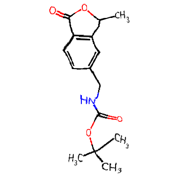 CC1OC(=O)c2ccc(CNC(=O)OC(C)(C)C)cc21